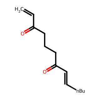 C=CC(=O)CCCC(=O)C=CCCCC